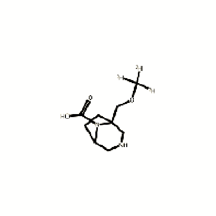 [2H]C([2H])([2H])OCC12CCC(CNC1)N2C(=O)O